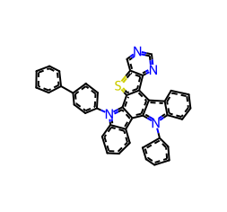 c1ccc(-c2ccc(-n3c4ccccc4c4c3c3sc5cncnc5c3c3c5ccccc5n(-c5ccccc5)c34)cc2)cc1